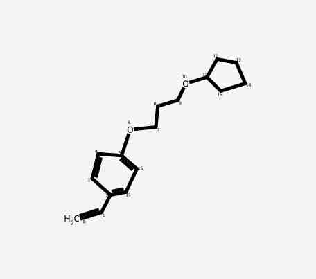 C=Cc1ccc(OCCCOC2CCCC2)cc1